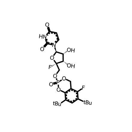 CC(C)(C)c1cc(C(C)(C)C)c2c(c1F)COP(=O)(OC[C@@]1(F)O[C@@H](n3ccc(=O)[nH]c3=O)[C@H](O)[C@@H]1O)O2